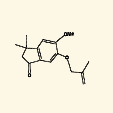 C=C(C)COc1cc2c(cc1OC)C(C)(C)CC2=O